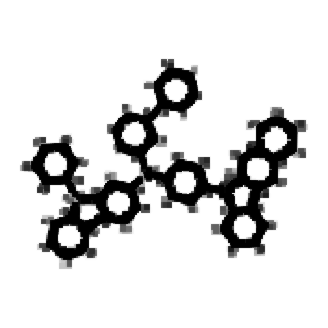 c1ccc(-c2cccc(N(c3ccc(-n4c5ccccc5c5cc6ccccc6cc54)cc3)c3ccc4c5ccccc5n(-c5ccccc5)c4c3)c2)cc1